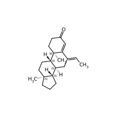 CC=C1C[C@H]2[C@@H]3CCC[C@@]3(C)CC[C@@H]2[C@@]2(C)CCC(=O)C=C12